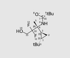 CC(C)(C)[C@H]1C[C@@H]1[C@@](C)(N[S@+]([O-])C(C)(C)C)C(F)(F)CO